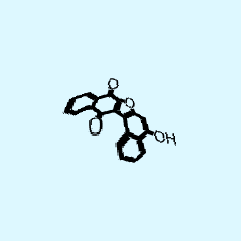 O=C1c2ccccc2C(=O)c2c1oc1cc(O)c3ccccc3c21